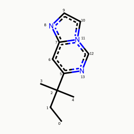 CCC(C)(C)c1cc2nccn2cn1